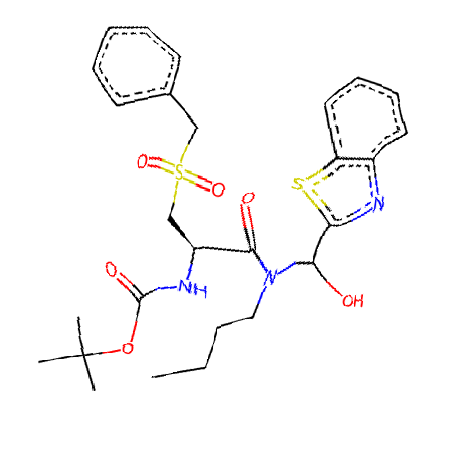 CCCCN(C(=O)[C@H](CS(=O)(=O)Cc1ccccc1)NC(=O)OC(C)(C)C)C(O)c1nc2ccccc2s1